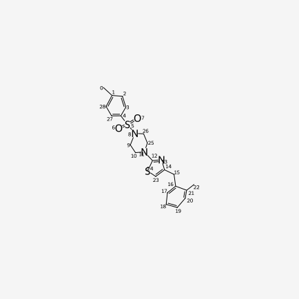 Cc1ccc(S(=O)(=O)N2CCN(c3nc(Cc4ccccc4C)cs3)CC2)cc1